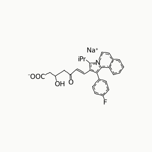 CC(C)c1c(/C=C/C(=O)CC(O)CC(=O)[O-])c(-c2ccc(F)cc2)c2c3ccccc3ccn12.[Na+]